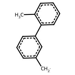 [CH2]c1cccc(-c2ccccc2C)c1